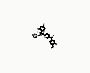 O=C(c1ccc(C(F)(F)C(O)(Cn2cnnn2)c2ccc(F)cc2F)nc1)c1ccc(CI)c(F)c1